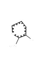 CNc1ncccc1S